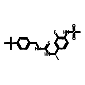 C[C@H](NC(=S)NCc1ccc(C(C)(C)C)cc1)c1ccc(NS(C)(=O)=O)c(F)c1